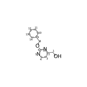 OCc1ccnc(OCc2ccccc2)n1